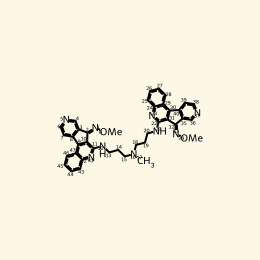 CON=C1c2cnccc2-c2c1c(NCCCN(C)CCCNc1nc3ccccc3c3c1C(=NOC)c1cnccc1-3)nc1ccccc21